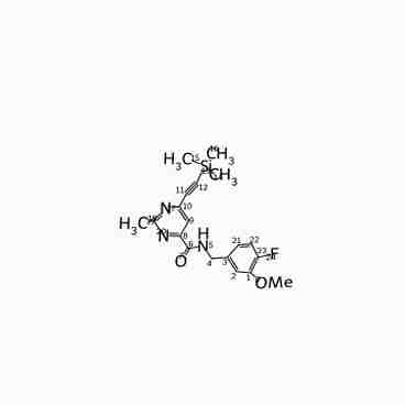 COc1cc(CNC(=O)c2cc(C#C[Si](C)(C)C)nc(C)n2)ccc1F